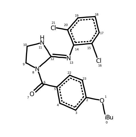 CCC(C)Oc1ccc(C(=O)N2CCN/C2=N\c2c(Cl)cccc2Cl)cc1